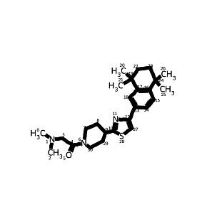 CN(C)CC(=O)N1CCC(c2nc(-c3ccc4c(c3)C(C)(C)CCC4(C)C)cs2)CC1